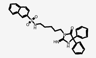 N=C1NC(c2ccccc2)(c2ccccc2)C(=O)N1CCCCCNS(=O)(=O)c1ccc2ccccc2c1